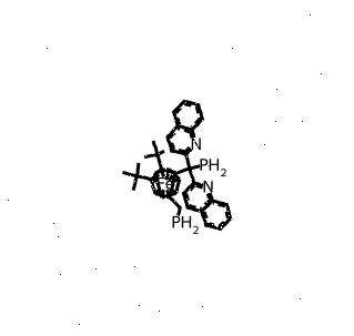 CC(C)(C)[C]12[CH]3[C]4(CP)[C]5(C(P)(c6ccc7ccccc7n6)c6ccc7ccccc7n6)[C]1(C(C)(C)C)[Fe]34251678[CH]2[CH]1[CH]6[CH]7[CH]28